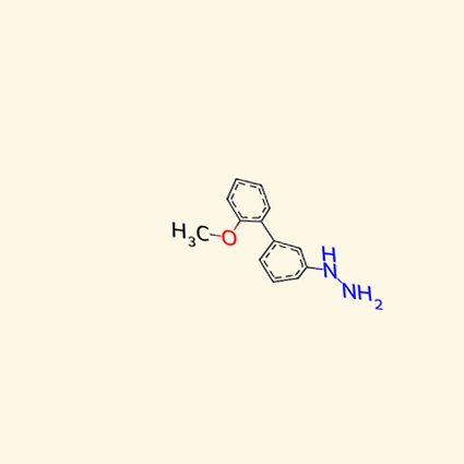 COc1ccccc1-c1cccc(NN)c1